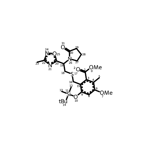 COC(=O)c1c(C)c(OC)cc(O[Si](C)(C)C(C)(C)C)c1CSCC(c1nc(C)no1)N1CCCC1=O